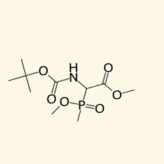 COC(=O)C(NC(=O)OC(C)(C)C)P(C)(=O)OC